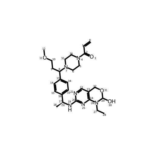 C=CC(=O)N1CCN(C(CCOC)c2ccc([C@H](C)Nc3ncc4c(n3)N(CC)C(O)OC4)cc2)CC1